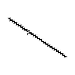 CCCCCCCCCCCCCCCCCCCCCCCCCCCCCCCCCCCC(=O)OCCCCCCCCCCCCCCCCCCC